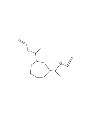 C=COC(C)C1CCCCC(C(C)OC=C)C1